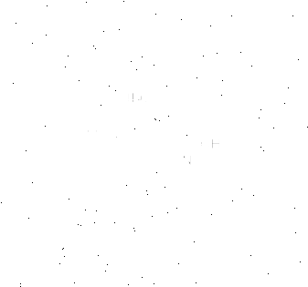 CC1=CC(=O)C(C(C)(C)C)=CC1=NO